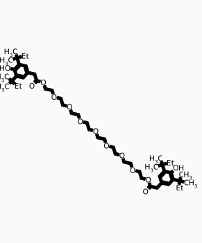 CCC(C)(C)c1cc(CC(=O)OCCOCCOCCOCCOCCOCCOCCOCCOC(=O)Cc2cc(C(C)(C)CC)c(O)c(C(C)(C)CC)c2)cc(C(C)(C)CC)c1O